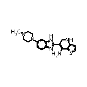 CN1CCN(c2ccc3nc(C4=C(N)c5sccc5NC4)[nH]c3c2)CC1